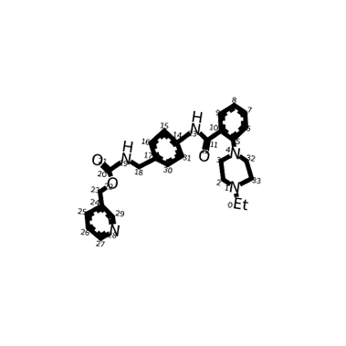 CCN1CCN(c2ccccc2C(=O)Nc2ccc(CNC(=O)OCc3cccnc3)cc2)CC1